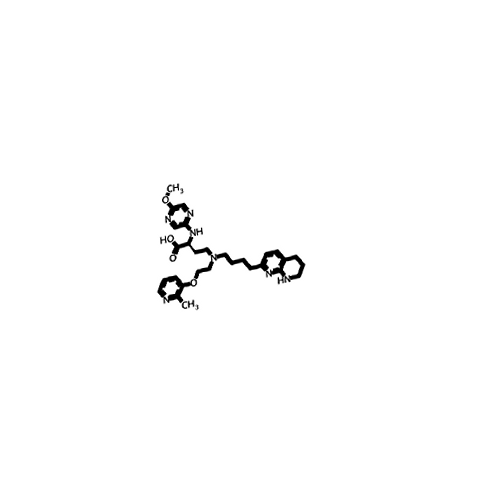 COc1cnc(N[C@@H](CCN(CCCCc2ccc3c(n2)NCCC3)CCOc2cccnc2C)C(=O)O)cn1